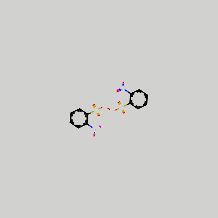 O=[N+]([O-])c1ccccc1S(=O)(=O)OOS(=O)(=O)c1ccccc1[N+](=O)[O-]